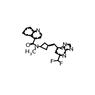 CN(C(=O)c1ccnc2ccccc12)C1CC(=Cc2cc(C(F)F)nc3ncnn23)C1